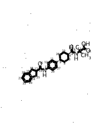 CC(C)(NC(=O)[C@H]1CC[C@H](c2ccc(NC(=O)C3Cc4ccccc4C3)cc2)CC1)C(=O)O